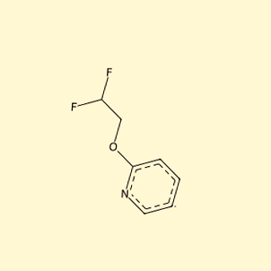 FC(F)COc1cc[c]cn1